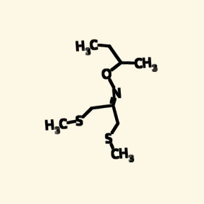 CCC(C)ON=C(CSC)CSC